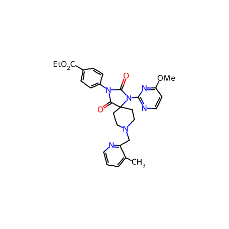 CCOC(=O)c1ccc(N2C(=O)N(c3nccc(OC)n3)C3(CCN(Cc4ncccc4C)CC3)C2=O)cc1